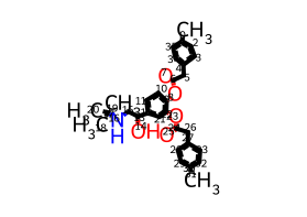 Cc1ccc(CC(=O)Oc2ccc(C(O)CNC(C)(C)C)cc2OC(=O)Cc2ccc(C)cc2)cc1